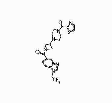 O=C(c1ccc2c(c1)ncn2CC(F)(F)F)N1CC(N2CCN(C(=O)c3nccs3)CC2)C1